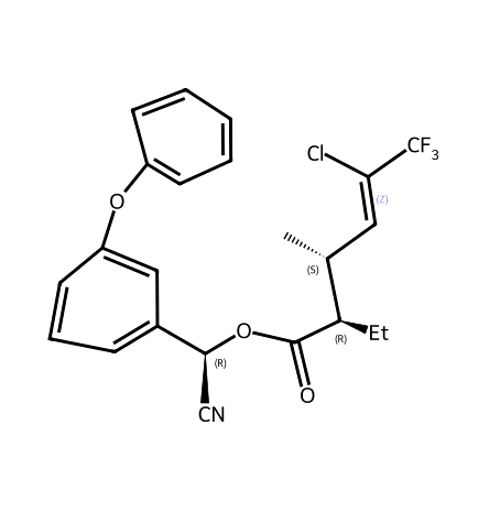 CC[C@@H](C(=O)O[C@@H](C#N)c1cccc(Oc2ccccc2)c1)[C@H](C)/C=C(\Cl)C(F)(F)F